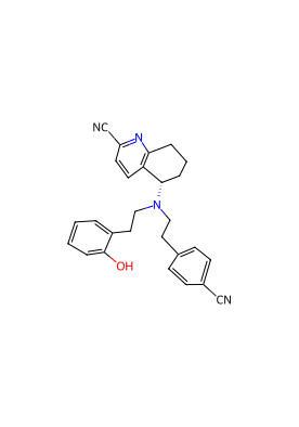 N#Cc1ccc(CCN(CCc2ccccc2O)[C@H]2CCCc3nc(C#N)ccc32)cc1